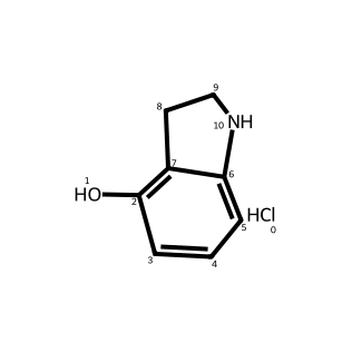 Cl.Oc1cccc2c1CCN2